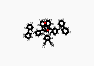 N#Cc1cc(-n2c3ccc(-n4c5ccccc5c5ccccc54)cc3c3c4ccccc4ccc32)c(-n2c3ccc(-n4c5ccccc5c5ccccc54)cc3c3c4ccccc4ccc32)cc1C#N